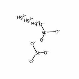 [Hg+2].[Hg+2].[Hg+2].[O-][Sb]([O-])[O-].[O-][Sb]([O-])[O-]